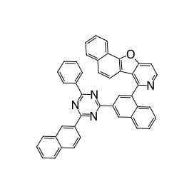 c1ccc(-c2nc(-c3ccc4ccccc4c3)nc(-c3cc(-c4nccc5oc6c7ccccc7ccc6c45)c4ccccc4c3)n2)cc1